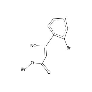 CC(C)OC(=O)C=C(C#N)c1ccccc1Br